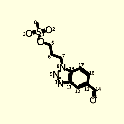 CS(=O)(=O)OCCCn1nnc2cc(C=O)ccc21